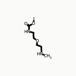 CNCCOCCNC(=O)OI